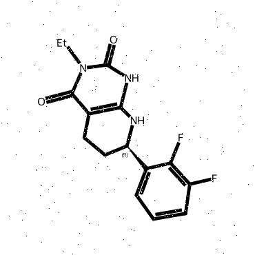 CCn1c(=O)[nH]c2c(c1=O)CC[C@H](c1cccc(F)c1F)N2